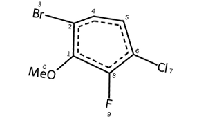 COc1c(Br)ccc(Cl)c1F